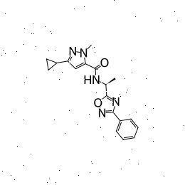 C[C@H](NC(=O)c1cc(C2CC2)nn1C)c1nc(-c2ccccc2)no1